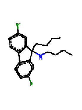 CCCCNC1(CCCC)c2cc(Br)ccc2-c2ccc(Br)cc21